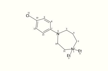 CC[N+]1(CC)CCCN(c2ccc(Cl)cc2)CC1